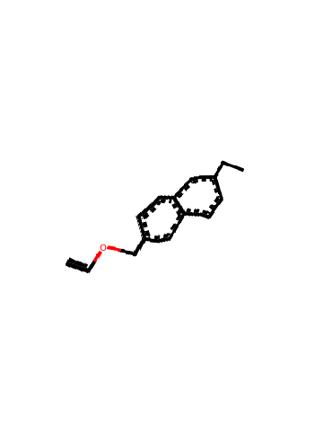 C=COCc1ccc2cc(CC)ccc2c1